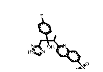 CC(c1ccc2cc(S(C)(=O)=O)ccc2n1)C(O)(Cc1nc[nH]n1)c1ccc(F)cc1